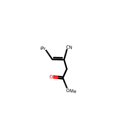 COC(=O)CC(C#N)=CC(C)C